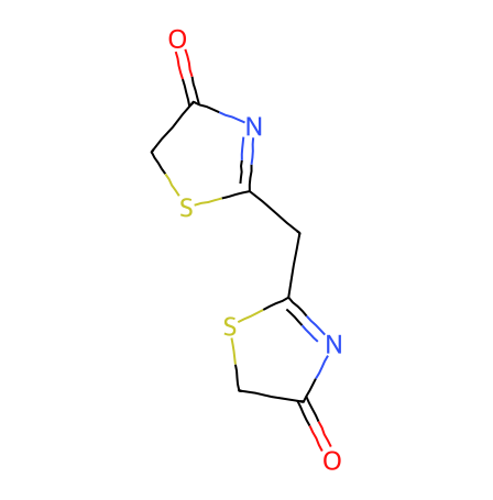 O=C1CSC(CC2=NC(=O)CS2)=N1